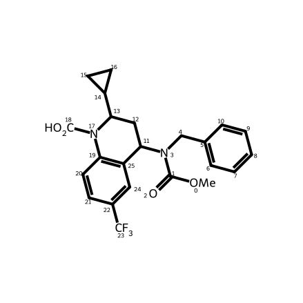 COC(=O)N(Cc1ccccc1)C1CC(C2CC2)N(C(=O)O)c2ccc(C(F)(F)F)cc21